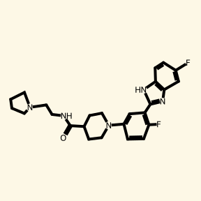 O=C(NCCN1CCCC1)C1CCN(c2ccc(F)c(-c3nc4cc(F)ccc4[nH]3)c2)CC1